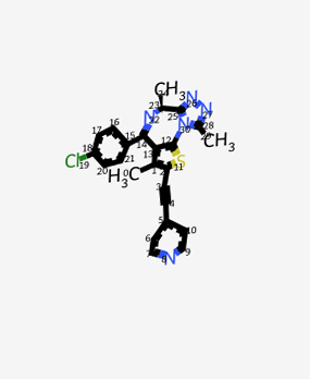 Cc1c(C#Cc2ccncc2)sc2c1C(c1ccc(Cl)cc1)=N[C@@H](C)c1nnc(C)n1-2